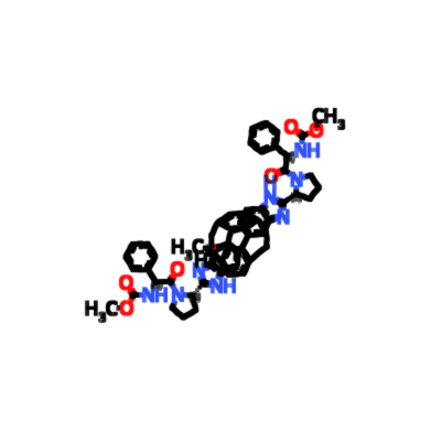 COC(=O)N[C@H](C(=O)N1CCC[C@H]1c1nc2cc(-c3cc4ccc3CCc3ccc(c(-c5ccc6[nH]c([C@@H]7CCCN7C(=O)[C@@H](NC(=O)OC)c7ccccc7)nc6c5)c3)C[C@H]4C)ccc2[nH]1)c1ccccc1